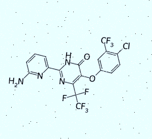 Nc1cccc(-c2nc(C(F)(F)C(F)(F)F)c(Oc3ccc(Cl)c(C(F)(F)F)c3)c(=O)[nH]2)n1